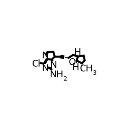 C[C@@H]1CC[C@@H]2C[C@@H](C#CC3CC=Nc4c(Cl)nc(N)nc43)O[C@@H]21